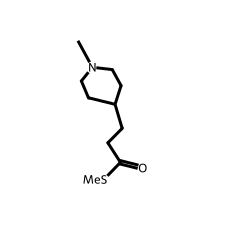 CSC(=O)CCC1CCN(C)CC1